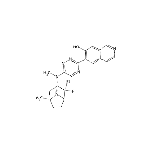 CC[C@]1(F)C2CC[C@@](C)(C[C@@H]1N(C)c1cnc(-c3cc4ccncc4cc3O)nn1)N2